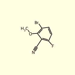 COc1c(Br)ccc(F)c1C#N